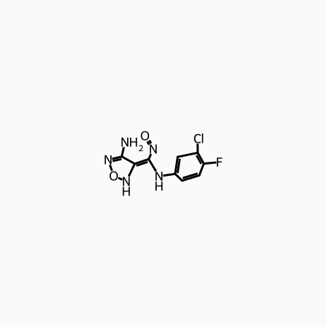 NC1=NON/C1=C(/N=O)Nc1ccc(F)c(Cl)c1